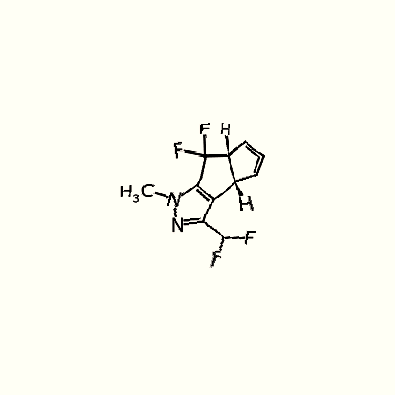 Cn1nc(C(F)F)c2c1C(F)(F)[C@@H]1C=C=C[C@H]21